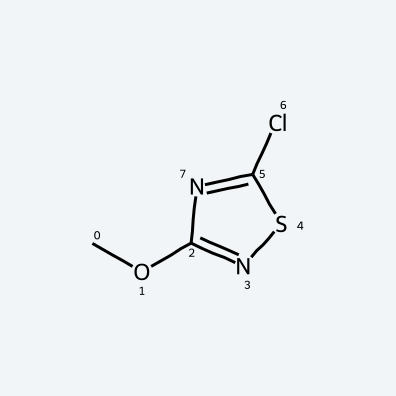 COc1nsc(Cl)n1